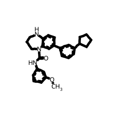 COc1cccc(NC(=O)N2CCCNc3ccc(-c4cccc(C5CCCC5)c4)cc32)c1